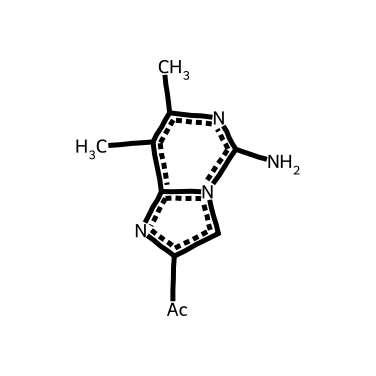 CC(=O)c1cn2c(N)nc(C)c(C)c2n1